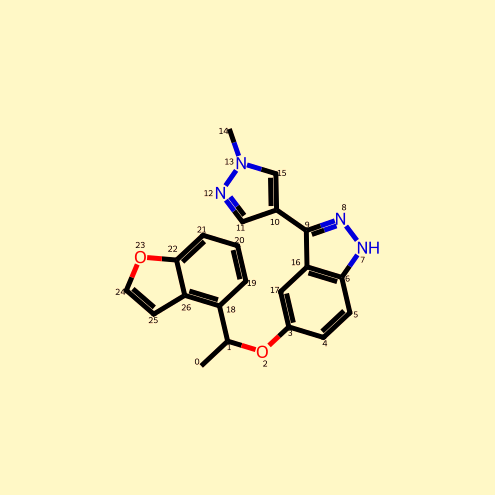 CC(Oc1ccc2[nH]nc(-c3cnn(C)c3)c2c1)c1cccc2occc12